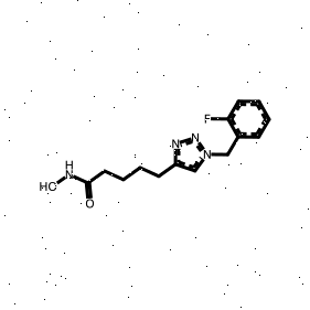 O=C(CCCCc1cn(Cc2ccccc2F)nn1)NO